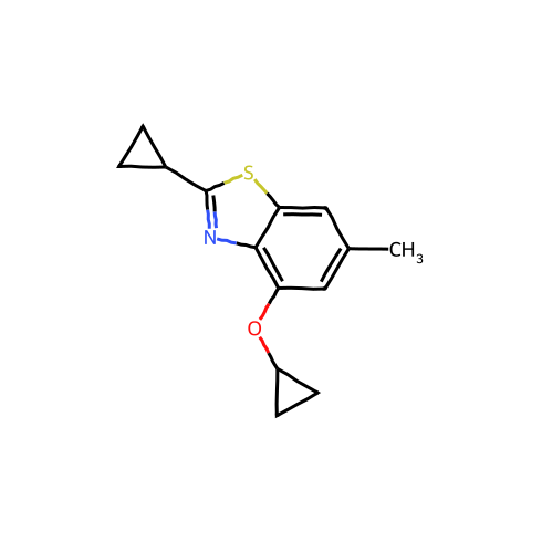 Cc1cc(OC2CC2)c2nc(C3CC3)sc2c1